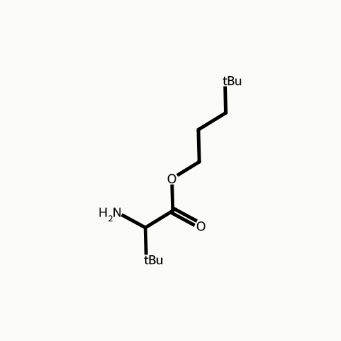 CC(C)(C)CCCOC(=O)C(N)C(C)(C)C